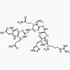 C[C@H](NC(=O)[C@H](Cc1c[nH]cn1)NC(=O)[C@@H](N)CCCNC(=N)N)C(=O)N[C@@H](CO)C(=O)N[C@@H](CCC(N)=O)C(=O)NCC(=O)N[C@@H](CCC(=O)O)C(=O)N[C@@H](CC(=O)O)C(=O)O